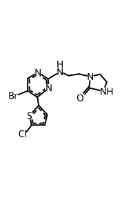 O=C1NCCN1CCNc1ncc(Br)c(-c2ccc(Cl)s2)n1